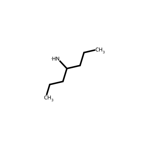 CCCC([NH])CCC